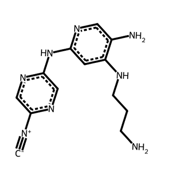 [C-]#[N+]c1cnc(Nc2cc(NCCCN)c(N)cn2)cn1